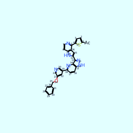 CC(=O)c1ccc(-c2nccc3[nH]c(-c4n[nH]c5ccc(-c6cncc(OCc7ccccc7)c6)nc45)cc23)s1